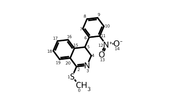 CSC1=NCC(c2ccccc2[N+](=O)[O-])c2ccccc21